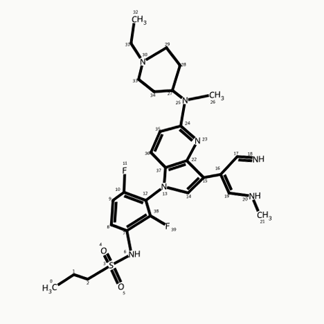 CCCS(=O)(=O)Nc1ccc(F)c(-n2cc(/C(C=N)=C/NC)c3nc(N(C)C4CCN(CC)CC4)ccc32)c1F